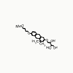 COCCCCOc1ccc2c(c1)CC1=C(CC(OC[C@@H](O)[C@H](O)CO)=CC1(C)C)C2